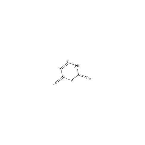 O=C1[CH]C(=S)C=CN1